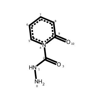 NNC(=O)n1ccccc1=O